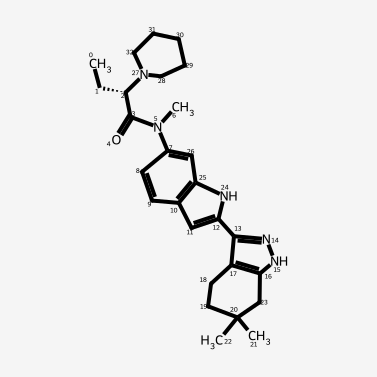 CC[C@@H](C(=O)N(C)c1ccc2cc(-c3n[nH]c4c3CCC(C)(C)C4)[nH]c2c1)N1CCCCC1